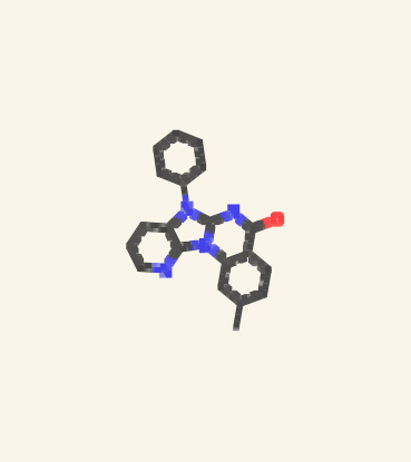 Cc1ccc2c(=O)nc3n(-c4ccccc4)c4cccnc4n3c2c1